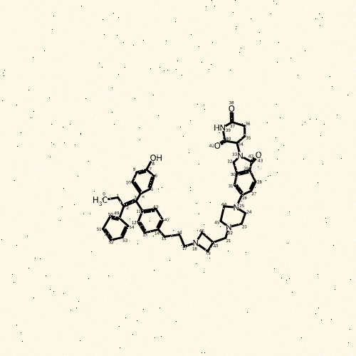 CCC(=C(c1ccc(O)cc1)c1ccc(CCCN2CC(CN3CCN(c4ccc5c(c4)CN(C4CCC(=O)NC4=O)C5=O)CC3)C2)cc1)c1ccccc1